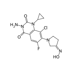 Nn1c(=O)c2cc(F)c(N3CCC(=NO)C3)c(Cl)c2n(C2CC2)c1=O